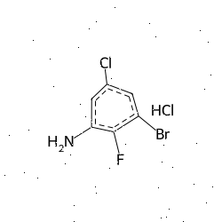 Cl.Nc1cc(Cl)cc(Br)c1F